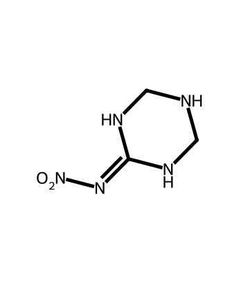 O=[N+]([O-])N=C1NCNCN1